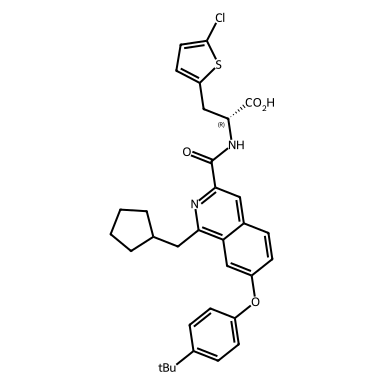 CC(C)(C)c1ccc(Oc2ccc3cc(C(=O)N[C@H](Cc4ccc(Cl)s4)C(=O)O)nc(CC4CCCC4)c3c2)cc1